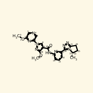 COc1cncc(-n2cc(C(=O)Nc3cccc(-c4nnc5n4[C@@H](C)CC5)n3)c(OC)n2)n1